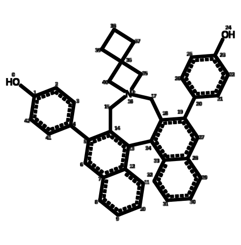 Oc1ccc(-c2cc3ccccc3c3c2C[N+]2(Cc4c(-c5ccc(O)cc5)cc5ccccc5c4-3)CC3(CCC3)C2)cc1